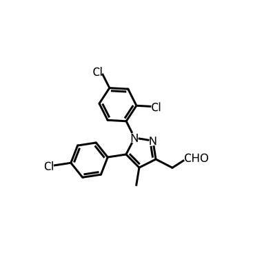 Cc1c(CC=O)nn(-c2ccc(Cl)cc2Cl)c1-c1ccc(Cl)cc1